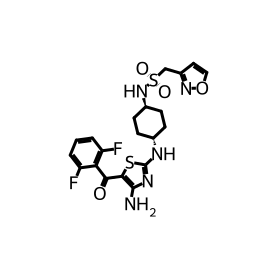 Nc1nc(N[C@H]2CC[C@H](NS(=O)(=O)Cc3ccon3)CC2)sc1C(=O)c1c(F)cccc1F